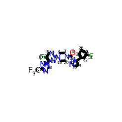 O=C(N1CCN(c2ncc(F)c(-n3cnc(C(F)(F)F)n3)n2)CC1)N1N=CCC1c1cccc(F)c1